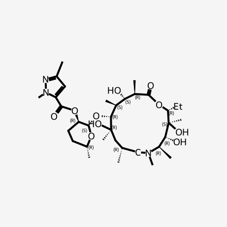 CC[C@H]1OC(=O)[C@H](C)[C@@H](O)[C@H](C)[C@@H](O[C@@H]2O[C@H](C)CC[C@H]2OC(=O)c2cc(C)nn2C)[C@](C)(O)C[C@@H](C)CN(C)[C@H](C)[C@@H](O)[C@]1(C)O